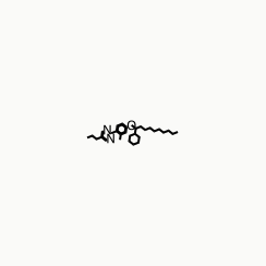 CCCCCCCCCC(Oc1ccc(-c2ncc(CCC)cn2)c(C)c1)C1CCCCC1